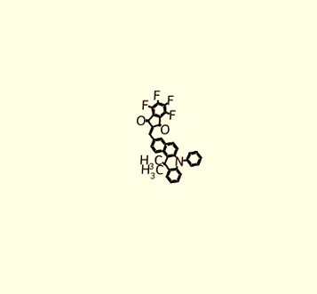 CC1(C)c2ccccc2N(c2ccccc2)c2ccc3cc(C=C4C(=O)c5c(F)c(F)c(F)c(F)c5C4=O)ccc3c21